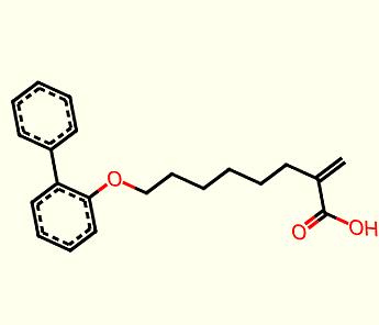 C=C(CCCCCCOc1ccccc1-c1ccccc1)C(=O)O